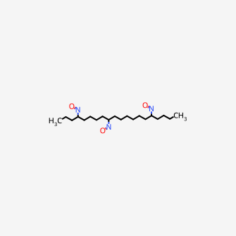 CCCCC(CCCCCCC(CCCCC(CCC)N=O)N=O)N=O